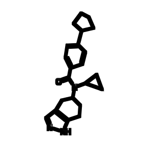 O=C(c1ccc(C2CCCC2)cc1)N(C1CC1)C1CCc2[nH]ncc2C1